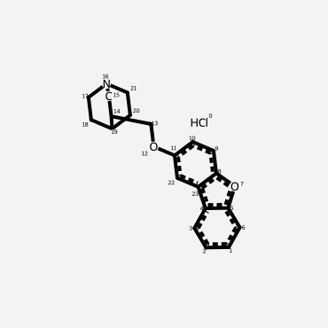 Cl.c1ccc2c(c1)oc1ccc(OCC3CN4CCC3CC4)cc12